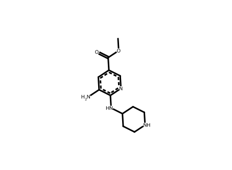 COC(=O)c1cnc(NC2CCNCC2)c(N)c1